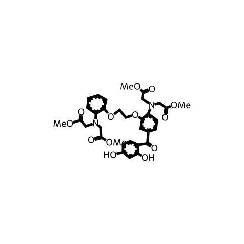 COC(=O)CN(CC(=O)OC)c1ccccc1OCCOc1cc(C(=O)c2ccc(O)cc2O)ccc1N(CC(=O)OC)CC(=O)OC